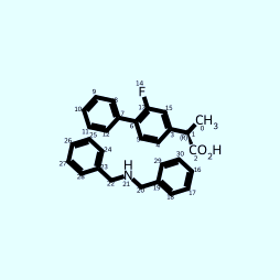 C[C@@H](C(=O)O)c1ccc(-c2ccccc2)c(F)c1.c1ccc(CNCc2ccccc2)cc1